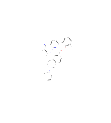 C=C(C)CC(CC(C)C)N1CCc2cc(COc3c(C)cccc3-c3cccc(N/C(OC)=C(\C=N)C(=O)O)n3)ccc2C1